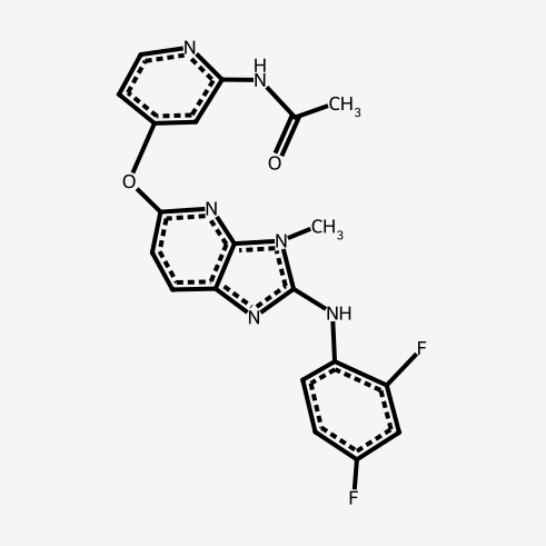 CC(=O)Nc1cc(Oc2ccc3nc(Nc4ccc(F)cc4F)n(C)c3n2)ccn1